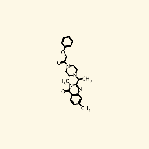 Cc1ccc2c(=O)n(C)c(C(C)N3CCN(C(=O)COc4ccccc4)CC3)nc2c1